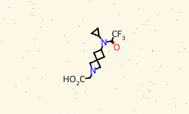 O=C(O)CN1CC2(CC(N(C(=O)C(F)(F)F)C3CC3)C2)C1